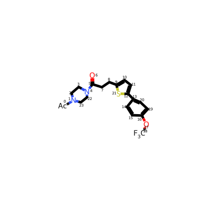 CC(=O)N1CCN(C(=O)CCc2ccc(-c3ccc(OC(F)(F)F)cc3)s2)CC1